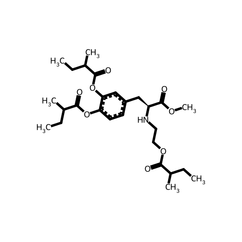 CCC(C)C(=O)OCCN[C@@H](Cc1ccc(OC(=O)C(C)CC)c(OC(=O)C(C)CC)c1)C(=O)OC